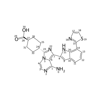 Nc1nccn2c1c(-c1cc3cccc(-c4nccs4)c3[nH]1)nc2[C@H]1CC[C@H](C(=O)O)CC1